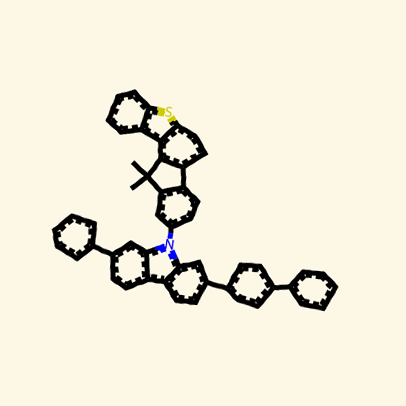 CC1(C)c2cc(-n3c4cc(-c5ccccc5)ccc4c4ccc(-c5ccc(-c6ccccc6)cc5)cc43)ccc2-c2ccc3sc4ccccc4c3c21